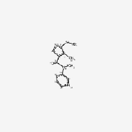 CCSc1ncc(C(=O)N(C)c2cccnc2)n1C